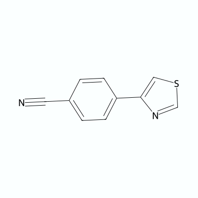 N#Cc1ccc(-c2cscn2)cc1